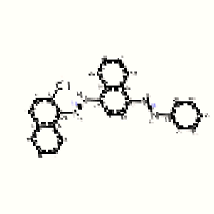 Oc1ccc2ccccc2c1/N=N/c1ccc(/N=N/c2ccccc2)c2ccccc12